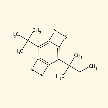 CCC(C)(C)c1c2ssc2c(C(C)(C)C)c2ssc12